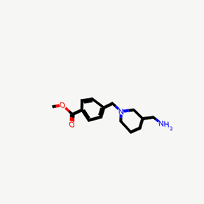 COC(=O)c1ccc(CN2CCCC(CN)C2)cc1